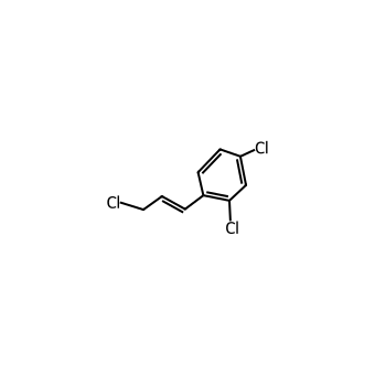 ClCC=Cc1ccc(Cl)cc1Cl